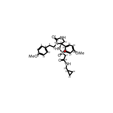 COc1ccc(CCN2C(=O)NC[C@]2(NS(=O)(=O)CC(=O)NCC2CC2)c2ccc(OC)cc2)cc1